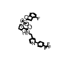 O=C(NCc1ccnc(-c2ccc(C(F)(F)F)cc2)c1)C1CCCN1S(=O)(=O)c1cc2c(F)cccc2o1